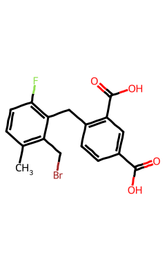 Cc1ccc(F)c(Cc2ccc(C(=O)O)cc2C(=O)O)c1CBr